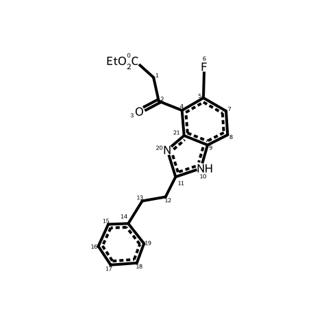 CCOC(=O)CC(=O)c1c(F)ccc2[nH]c(CCc3ccccc3)nc12